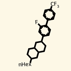 CCCCCCC1CCC2CC(c3ccc(-c4ccc(C(F)(F)F)cc4)c(F)c3)CCC2C1